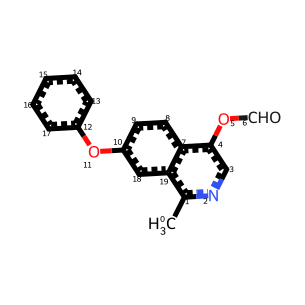 Cc1ncc(OC=O)c2ccc(Oc3ccccc3)cc12